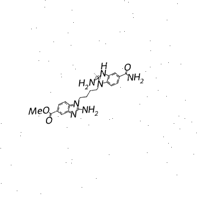 COC(=O)c1ccc2c(c1)nc(N)n2CCCCN1c2ccc(C(N)=O)cc2N[C@]1(C)N